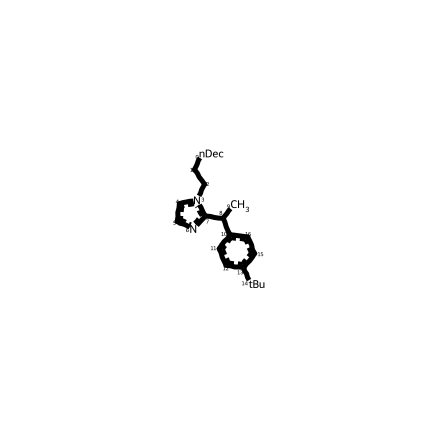 CCCCCCCCCCCCn1ccnc1C(C)c1ccc(C(C)(C)C)cc1